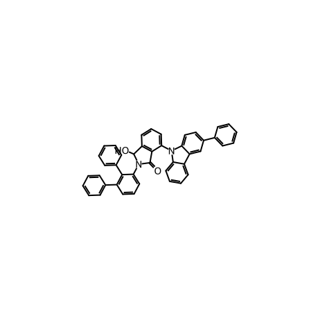 O=C1c2c(cccc2-n2c3ccccc3c3cc(-c4ccccc4)ccc32)C(O)N1c1cccc(-c2ccccc2)c1-c1ccccc1